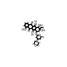 CC[C@@]1(O)C[C@H](O[C@H]2CC(N3CCOCC3)C[C@H](C)O2)c2c(O)c3c(c(O)c2[C@H]1O)C(=O)c1cccc(O)c1C3=O